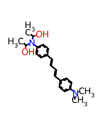 CC(O)N(c1ccc(C=CC=Cc2ccc(N(C)C)cc2)cc1)C(C)O